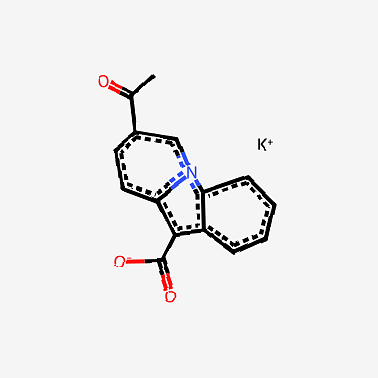 CC(=O)c1ccc2c(C(=O)[O-])c3ccccc3n2c1.[K+]